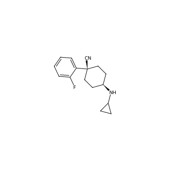 N#C[C@]1(c2ccccc2F)CC[C@H](NC2CC2)CC1